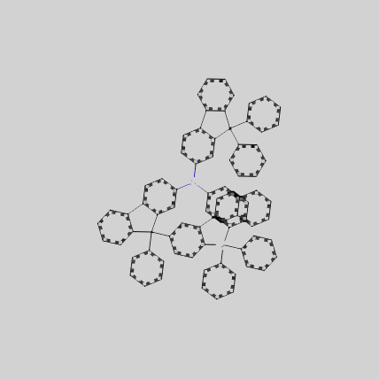 c1ccc(C2(c3ccccc3)c3ccccc3-c3ccc(N(c4ccc5c(c4)C(c4ccccc4)(c4ccc6c(c4)-c4ccccc4[Si]6(c4ccccc4)c4ccccc4)c4ccccc4-5)c4ccc5ccccc5c4)cc32)cc1